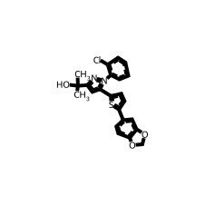 CC(C)(O)c1cc(-c2ccc(-c3ccc4c(c3)OCO4)s2)n(-c2ccccc2Cl)n1